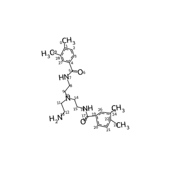 Cc1ccc(C(=O)NCCN(CCN)CCNC(=O)c2ccc(C)c(C)c2)cc1C